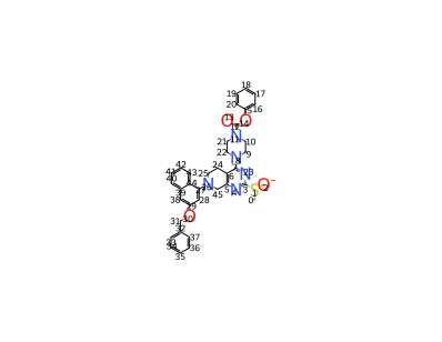 C[S+]([O-])c1nc2c(c(N3CCN(C(=O)Oc4ccccc4)CC3)n1)CCN(c1cc(OCc3ccccc3)cc3ccccc13)C2